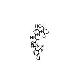 C[C@H](Nc1nccc(N2C(=O)OCC2[C@@H](C)O)n1)c1nc(-c2ccc(Cl)cc2C(F)(F)F)no1